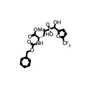 COC(=O)[C@H](CCP(=O)(O)C(O)c1ccc(C(F)(F)F)o1)NC(=O)OCc1ccccc1